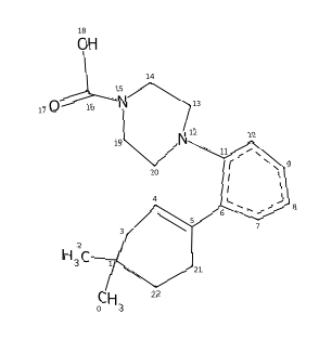 CC1(C)CC=C(c2ccccc2N2CCN(C(=O)O)CC2)CC1